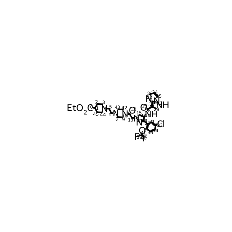 CCOC(=O)C1CCN(CCN2CCN(C(=O)Cn3cc(NC(=O)C4=C5N=CC=CN5NC4)c(-c4cc(Cl)ccc4OC(F)F)n3)CC2)CC1